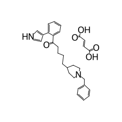 O=C(CCCCC1CCN(Cc2ccccc2)CC1)c1ccccc1-c1cc[nH]c1.O=C(O)/C=C/C(=O)O